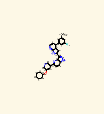 COc1cc(F)cc(-c2ccnc3[nH]c(-c4n[nH]c5ccc(-c6cncc(OC7CCCCC7)c6)nc45)cc23)c1